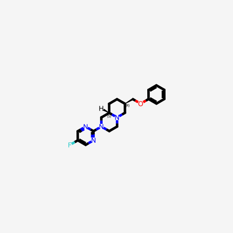 Fc1cnc(N2CCN3C[C@H](COc4ccccc4)CC[C@H]3C2)nc1